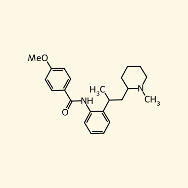 COc1ccc(C(=O)Nc2ccccc2C(C)CC2CCCCN2C)cc1